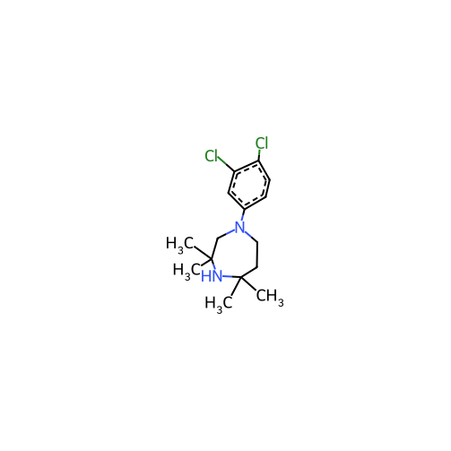 CC1(C)CCN(c2ccc(Cl)c(Cl)c2)CC(C)(C)N1